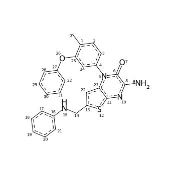 Cc1ccc(-n2c(=O)c(N)nc3sc(CNc4ccccc4)cc32)cc1Oc1ccccc1